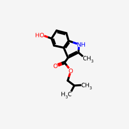 Cc1[nH]c2ccc(O)cc2c1C(=O)OCC(C)C